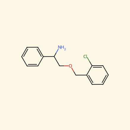 NC(COCc1ccccc1Cl)c1ccccc1